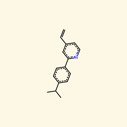 C=Cc1ccnc(-c2ccc(C(C)C)cc2)c1